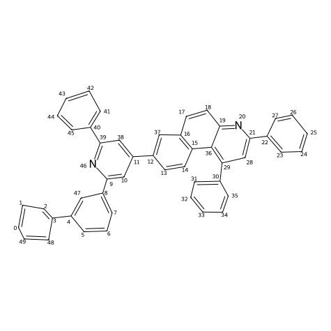 c1ccc(-c2cccc(-c3cc(-c4ccc5c(ccc6nc(-c7ccccc7)cc(-c7ccccc7)c65)c4)cc(-c4ccccc4)n3)c2)cc1